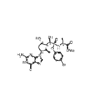 C=C1[C@@H]([C@@H](O)P(=O)(N[C@@H](C)C(=O)OC)Oc2ccc(Br)cc2)[C@@H](O)C[C@@H]1n1cnc2c(=O)[nH]c(N)nc21